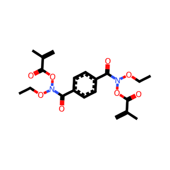 C=C(C)C(=O)ON(OCC)C(=O)c1ccc(C(=O)N(OCC)OC(=O)C(=C)C)cc1